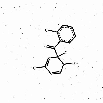 O=[C]C1C=CC(Cl)=CC1(Cl)C(=O)c1ccccc1Cl